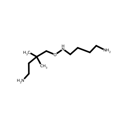 CC(C)(CCN)CONCCCCN